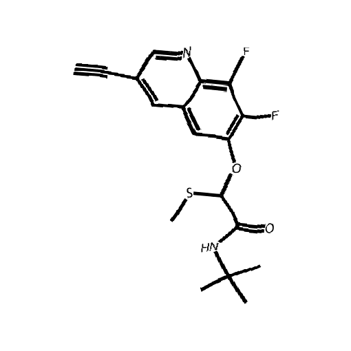 C#Cc1cnc2c(F)c(F)c(OC(SC)C(=O)NC(C)(C)C)cc2c1